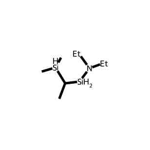 CCN(CC)[SiH2]C(C)[SiH](C)C